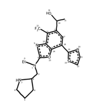 CCN(CC1CCCN1)c1nc2c(C(F)(F)F)c(C(C)O)cc(-c3nccs3)c2o1